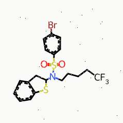 O=S(=O)(c1ccc(Br)cc1)N(CCCCC(F)(F)F)C1Cc2ccccc2S1